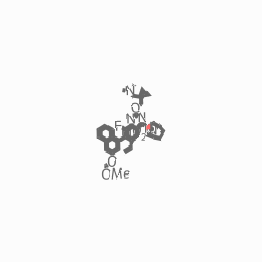 C=Cc1cc2c(N3CC4CCC(C3)N4C(=O)O)nc(OCC3(CN(C)C)CC3)nc2c(F)c1-c1cc(OCOC)cc2ccccc12